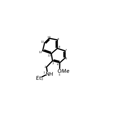 CCNCc1c(OC)ccc2ccccc12